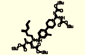 C=C(/C=C/C)CCN(Nc1ccc(C2=CCN(/C(=N/C(=O)OC(C)(C)C)NC(=O)OC(C)(C)C)CC2)c(C)c1)/C(=N\C(=O)OC(C)(C)C)N(C)C(=O)OC(C)(C)C